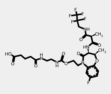 C[C@H](C(=O)NCC(F)(F)C(F)(F)F)C(=O)N[C@@H]1C(=O)N(CCOC(=O)NCCNC(=O)CCCC(=O)O)c2cc(F)ccc2O[C@@H]1C